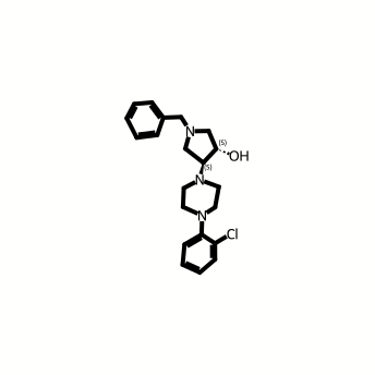 O[C@H]1CN(Cc2ccccc2)C[C@@H]1N1CCN(c2ccccc2Cl)CC1